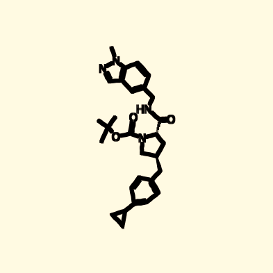 Cn1ncc2cc(CNC(=O)[C@@H]3C[C@@H](Cc4ccc(C5CC5)cc4)CN3C(=O)OC(C)(C)C)ccc21